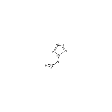 O=C(O)Cn1c[c]nc1